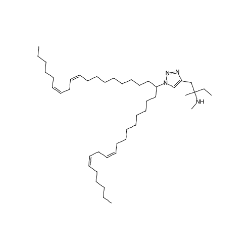 CCCCC/C=C\C/C=C\CCCCCCCCC(CCCCCCCC/C=C\C/C=C\CCCCC)n1cc(CC(C)(CC)NC)nn1